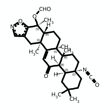 CC1(C)CC[C@]2(N=C=O)CC[C@]3(C)[C@H](C(=O)C=C4[C@@]5(C)Cc6cnoc6[C@@](C)(OC=O)[C@@H]5CC[C@]43C)[C@@H]2C1